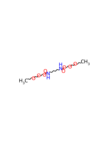 CCCCOCCOCCOC(=O)NCCCCCCNC(=O)OCCOCCOCCCC